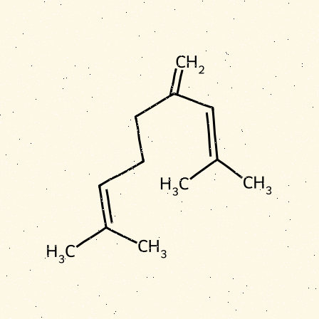 C=C(C=C(C)C)CCC=C(C)C